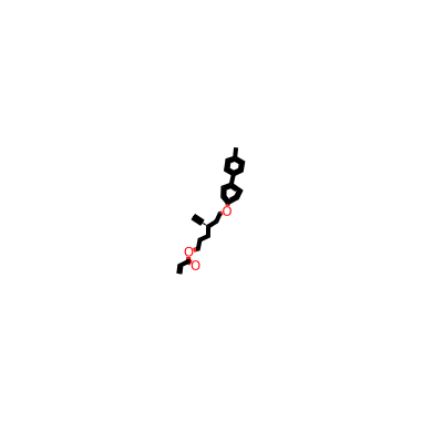 C#C[C@@H](CCCOC(=O)C=C)CCOc1ccc(-c2ccc(C)cc2)cc1